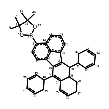 CC1(C)OB(c2ccc3c4c(cccc24)C2=C3C(C3C=CC=CC3)=C3C=CCCC3C2C2C=CC=CC2)OC1(C)C